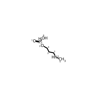 CNCCCO[PH](=O)O